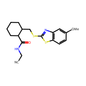 COc1ccc2sc(SCC3CCCCC3C(=O)NCC#N)nc2c1